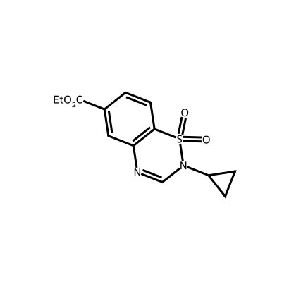 CCOC(=O)c1ccc2c(c1)N=CN(C1CC1)S2(=O)=O